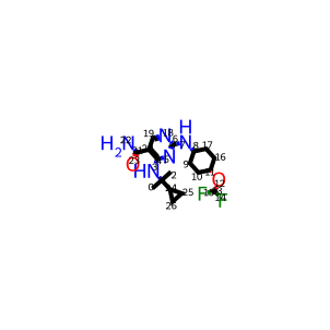 CC(C)(Nc1nc(NC2CCC(OC(F)F)CC2)ncc1C(N)=O)C1CC1